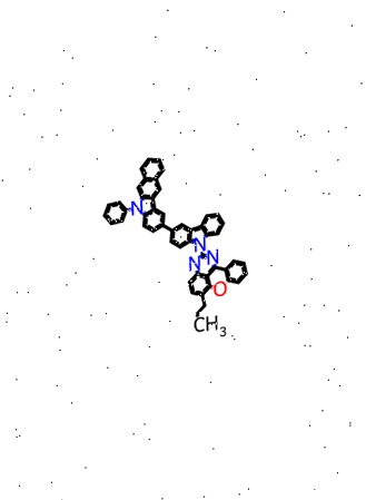 CCCc1ccc2nc(-n3c4ccccc4c4cc(-c5ccc6c(c5)c5cc7ccccc7cc5n6-c5ccccc5)ccc43)nc3c2c1Oc1ccccc1-3